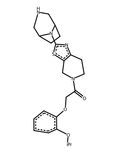 CC(C)Oc1ccccc1OCC(=O)N1CCc2nc(N3C4CCC3CNC4)sc2C1